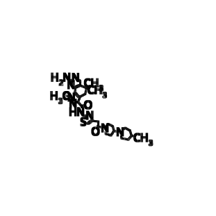 CC1CCN(C2CCN(C(=O)Cc3csc(NC(=O)c4nn(C)c5c4CC(C)(C)c4cnc(N)nc4-5)n3)CC2)CC1